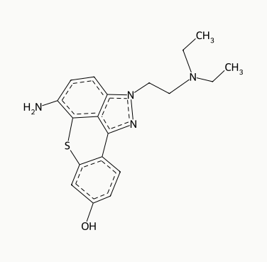 CCN(CC)CCn1nc2c3c(c(N)ccc31)Sc1cc(O)ccc1-2